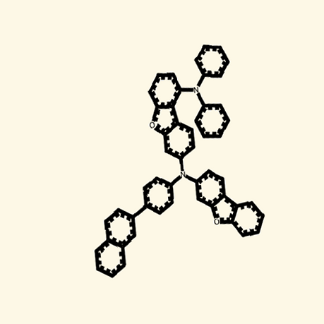 c1ccc(N(c2ccccc2)c2cccc3oc4cc(N(c5ccc(-c6ccc7ccccc7c6)cc5)c5ccc6c(c5)oc5ccccc56)ccc4c23)cc1